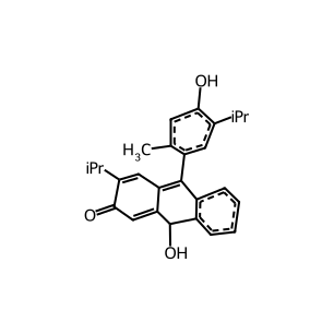 Cc1cc(O)c(C(C)C)cc1C1=C2C=C(C(C)C)C(=O)C=C2C(O)c2ccccc21